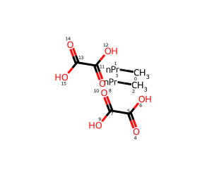 CCCC.CCCC.O=C(O)C(=O)O.O=C(O)C(=O)O